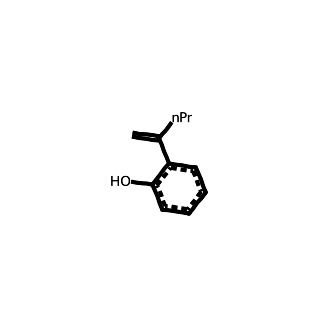 C=C(CCC)c1ccccc1O